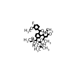 CCS(=O)(=O)Cc1ccc(C(=O)c2ccc(F)c(OC)c2)c(-c2nn(C)c(=O)cc2C(C)OC(=O)NC(C)(C)C)c1